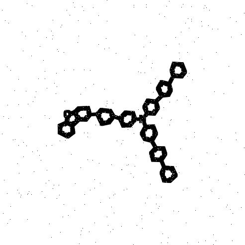 c1ccc(-c2ccc(-c3ccc(N(c4ccc(-c5ccc(-c6ccccc6)cc5)cc4)c4ccc(-c5ccc(-c6ccc7oc8ccccc8c7c6)cc5)cc4)cc3)cc2)cc1